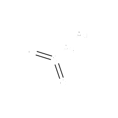 O=S=O.[Ag].[Ag]